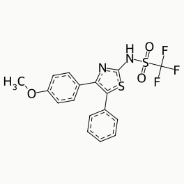 COc1ccc(-c2nc(NS(=O)(=O)C(F)(F)F)sc2-c2ccccc2)cc1